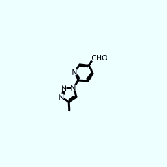 Cc1cn(-c2ccc(C=O)cn2)nn1